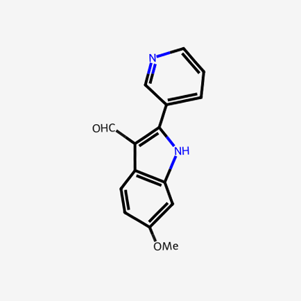 COc1ccc2c(C=O)c(-c3cccnc3)[nH]c2c1